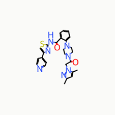 Cc1cc(C)n(CC(=O)N2CCN(c3ccccc3C(=O)Nc3nc(-c4ccncc4)cs3)CC2)n1